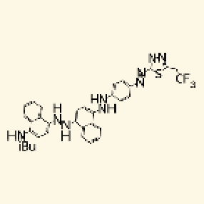 CCC(C)Nc1ccc(NNc2ccc(NNc3ccc(/N=N/c4nnc(CC(F)(F)F)s4)cc3)c3ccccc23)c2ccccc12